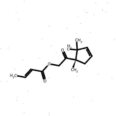 C/C=C/C(=O)OCC(=O)[C@@]1(C)CC=CC1(C)C